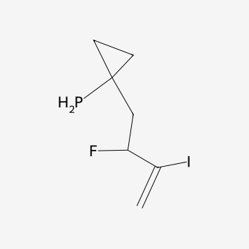 C=C(I)C(F)CC1(P)CC1